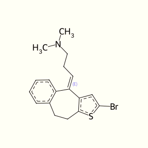 CN(C)CC/C=C1\c2ccccc2CCc2sc(Br)cc21